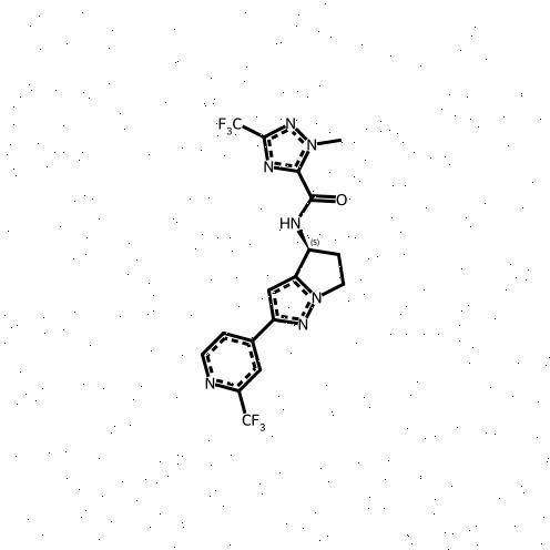 Cn1nc(C(F)(F)F)nc1C(=O)N[C@H]1CCn2nc(-c3ccnc(C(F)(F)F)c3)cc21